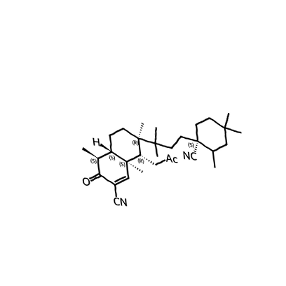 CC(=O)C[C@@H]1[C@@]2(C)C=C(C#N)C(=O)[C@@H](C)[C@@H]2CC[C@@]1(C)C(C)(C)CC[C@@]1(C#N)CCC(C)(C)CC1C